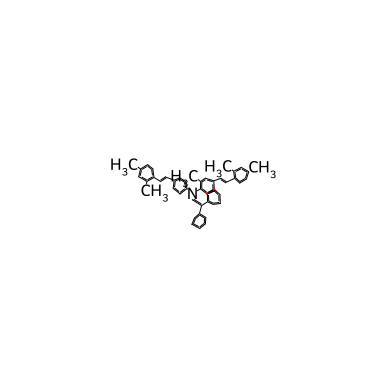 Cc1ccc(C=Cc2ccc(N(C=C(c3ccccc3)c3ccccc3)c3ccc(C=Cc4ccc(C)cc4C)cc3C)cc2)c(C)c1